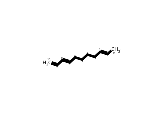 [CH2]C=CCCCCC=CC=C